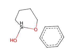 O[SiH]1CCCCO1.c1ccccc1